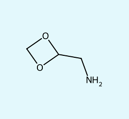 NCC1OCO1